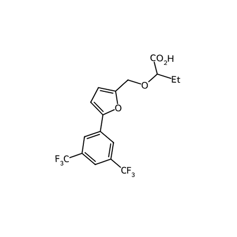 CCC(OCc1ccc(-c2cc(C(F)(F)F)cc(C(F)(F)F)c2)o1)C(=O)O